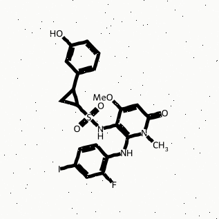 COc1cc(=O)n(C)c(Nc2ccc(I)cc2F)c1NS(=O)(=O)C1CC1c1cccc(O)c1